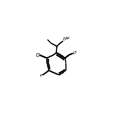 CC(=O)OC(C)c1c(Cl)ccc(F)c1Cl